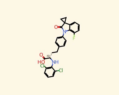 O=C(O)[C@H](CCc1ccc(N2C(=O)C3(CC3)c3cccc(F)c32)cc1)Nc1c(Cl)cccc1Cl